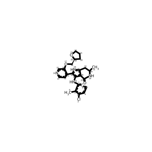 Cc1c(Cl)cccc1Nc1c(-c2ccncc2OC[C@@H]2CCCO2)[nH]c2c1C(=O)NC(C)C2